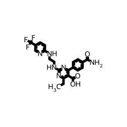 CCc1nc(NCCNc2ccc(C(F)(F)F)cn2)nc(-c2ccc(C(N)=O)cc2)c1C(=O)O